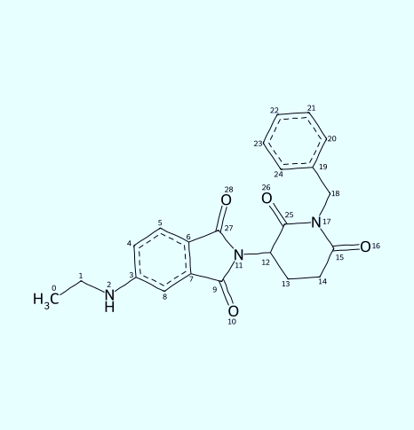 CCNc1ccc2c(c1)C(=O)N(C1CCC(=O)N(Cc3ccccc3)C1=O)C2=O